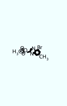 Cc1cc(Br)c2ncc(COS(C)(=O)=O)nc2c1